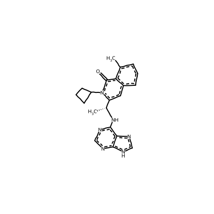 Cc1cccc2cc([C@@H](C)Nc3ncnc4[nH]cnc34)n(C3CCC3)c(=O)c12